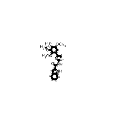 COc1cc(-c2csc(NC(=O)c3cc4ccccc4[nH]3)n2)c(OC)c(OC)c1C